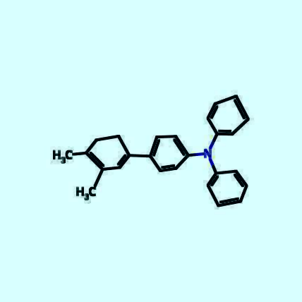 CC1=C(C)CCC(c2ccc(N(c3ccccc3)c3ccccc3)cc2)=C1